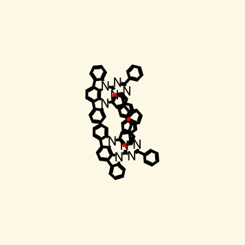 c1ccc(-c2nc(-c3ccccc3)nc(-n3c4ccccc4c4ccc5c6ccccc6n(-c6cccc(-c7cccc(-c8cccc(-n9c%10ccccc%10c%10ccc%11c%12ccccc%12n(-c%12nc(-c%13ccccc%13)nc(-c%13ccccc%13)n%12)c%11c%109)c8)c7)c6)c5c43)n2)cc1